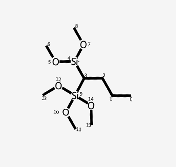 CCCC([Si](OC)OC)[Si](OC)(OC)OC